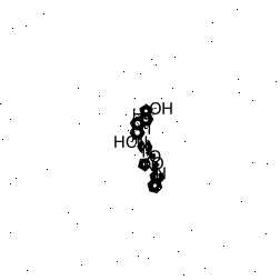 C[C@]12CC[C@H]3[C@@H](CCC4C[C@H](O)[C@@H](N5CCN(C(=O)[C@@H]6CCCN6C(=O)c6cc7ccccc7cn6)CC5)C[C@@]43C)[C@@H]1CC[C@@H]2O